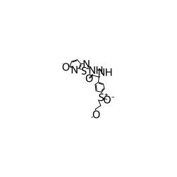 COCCC[S+]([O-])c1ccc(C(=N)C(=O)Nc2nc3ccc(OC)nc3s2)cc1